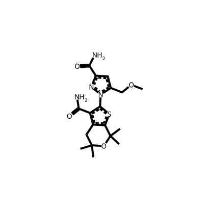 COCc1cc(C(N)=O)nn1-c1sc2c(c1C(N)=O)CC(C)(C)OC2(C)C